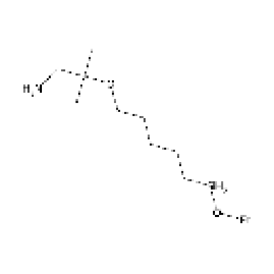 CCO[SiH2]CCCCCOC(C)(C)CN